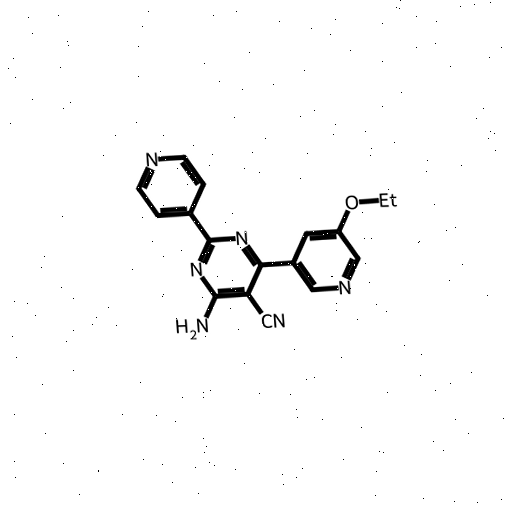 CCOc1cncc(-c2nc(-c3ccncc3)nc(N)c2C#N)c1